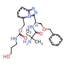 CC(C)(N)C(=O)N[C@H](COCc1ccccc1)c1nnc2cccc(COC(=O)NCCCO)n12